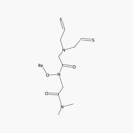 CN(C)C(=O)CN([O][Re])C(=O)CN(CC=S)CC=S